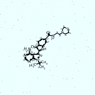 CC(C)(C)n1nc(-c2[nH]c3cc(C(=O)NCCN4CCOCC4)ccc3c2Cl)c2c(N)ncnc21